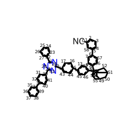 N#Cc1cccc(-c2ccc(C3(c4ccc(-c5ccc(-c6nc(-c7ccccc7)nc(-c7ccc(-c8ccccc8)cc7)n6)cc5)cc4)C4CC5CC(C4)CC3C5)cc2)c1